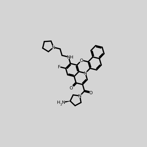 N[C@@H]1CCN(C(=O)c2cn3c4c(c(NCCN5CCCC5)c(F)cc4c2=O)Oc2c-3ccc3ccccc23)C1